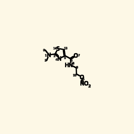 CN(C)c1nc(C(=O)NCCO[N+](=O)[O-])cs1